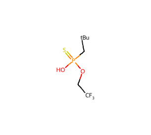 CC(C)(C)CP(O)(=S)OCC(F)(F)F